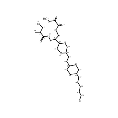 C=C(CO)C(=O)OCC(COC(=O)C(=C)CO)C1CCC(CCC2CCC(CCCCCC)CC2)OC1